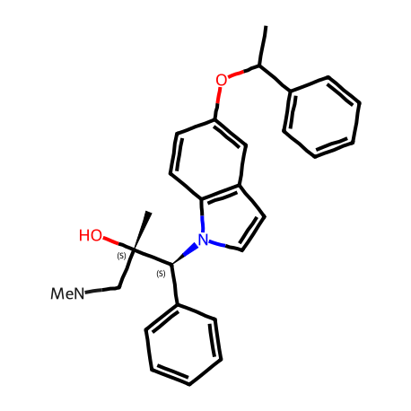 CNC[C@](C)(O)[C@H](c1ccccc1)n1ccc2cc(OC(C)c3ccccc3)ccc21